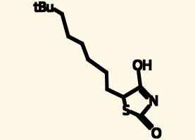 CC(C)(C)CCCCCCC1SC(=O)N=C1O